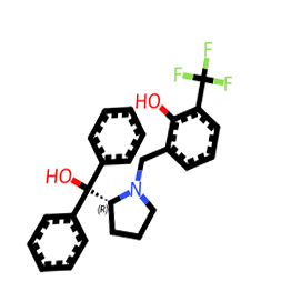 Oc1c(CN2CCC[C@@H]2C(O)(c2ccccc2)c2ccccc2)cccc1C(F)(F)F